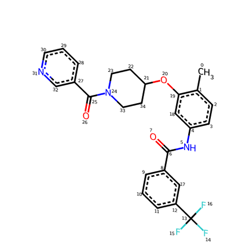 Cc1ccc(NC(=O)c2cccc(C(F)(F)F)c2)cc1OC1CCN(C(=O)c2cccnc2)CC1